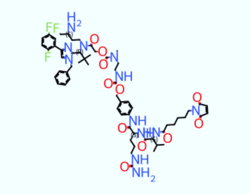 CC(C)[C@H](NC(=O)CCCCCN1C(=O)C=CC1=O)C(=O)N[C@@H](CCCNC(N)=O)C(=O)Nc1ccc(COC(=O)NCCN(C)C(=O)OCC(=O)N(CC[C@H](N)CF)[C@@H](c2nc(-c3cc(F)ccc3F)cn2Cc2ccccc2)C(C)(C)C)cc1